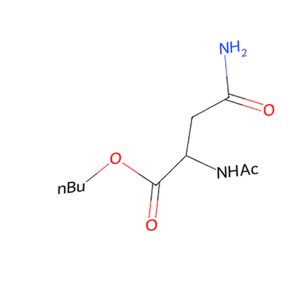 CCCCOC(=O)C(CC(N)=O)NC(C)=O